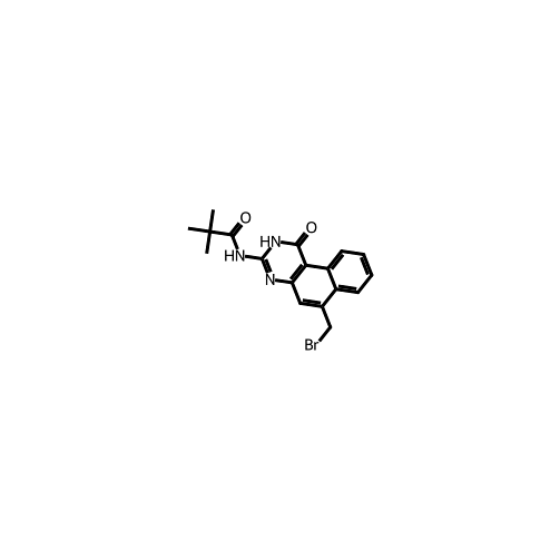 CC(C)(C)C(=O)Nc1nc2cc(CBr)c3ccccc3c2c(=O)[nH]1